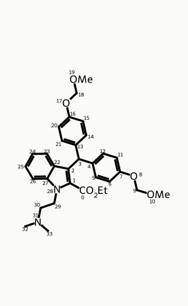 CCOC(=O)c1c(C(c2ccc(OCOC)cc2)c2ccc(OCOC)cc2)c2ccccc2n1CCN(C)C